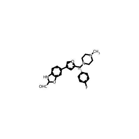 CN1CCN([C@H](c2ccc(F)cc2)c2cc(-c3ccc4c(c3)OC(C=O)N4)co2)CC1